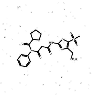 CS(=O)(=O)c1sc(NC(=O)CC(=O)N(C(=O)C2CCCC2)c2ccccc2)nc1CC(=O)O